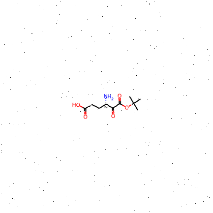 CC(C)(C)OC(=O)C(=O)[C@@H](N)CCC(=O)O